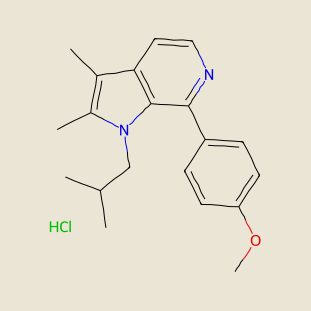 COc1ccc(-c2nccc3c(C)c(C)n(CC(C)C)c23)cc1.Cl